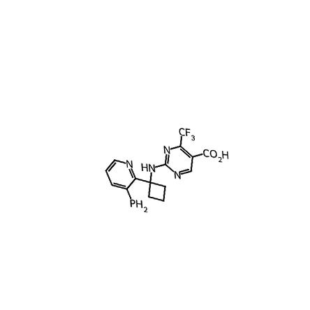 O=C(O)c1cnc(NC2(c3ncccc3P)CCC2)nc1C(F)(F)F